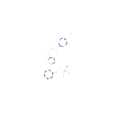 CCc1cccc(CC)c1-n1nc2c(c1B1OC(C)(C)C(C)(C)O1)CN(c1ncc(C(F)(F)F)cn1)CC2